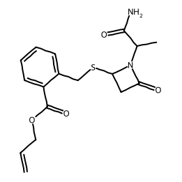 C=CCOC(=O)c1ccccc1CSC1CC(=O)N1C(C)C(N)=O